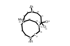 CCN1CCCN2CCN(CC)CCC(Cl)(Cl)N(CC1)CC2.[Mn+2]